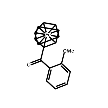 COc1ccccc1C(=O)[C]12[CH]3[CH]4[CH]5[CH]1[Fe]45321678[CH]2[CH]1[CH]6[CH]7[CH]28